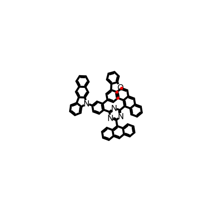 c1ccc2cc3c(cc2c1)c1ccccc1n3-c1ccc(-c2nc(-c3c4ccccc4cc4ccccc34)nc(-c3c4ccccc4cc4ccccc34)n2)c(-c2ccc3oc4ccccc4c3c2)c1